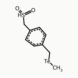 C[Te]Cc1ccc(C[SH](=O)=O)cc1